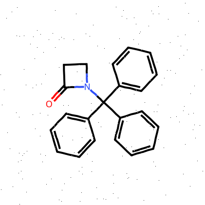 O=C1CCN1C(c1ccccc1)(c1ccccc1)c1ccccc1